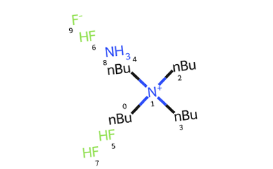 CCCC[N+](CCCC)(CCCC)CCCC.F.F.F.N.[F-]